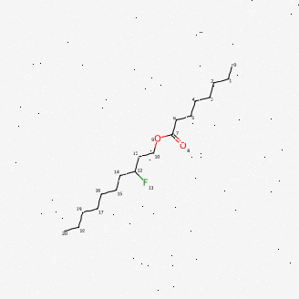 CCCCCCCC(=O)OCCC(F)CCCCCCC